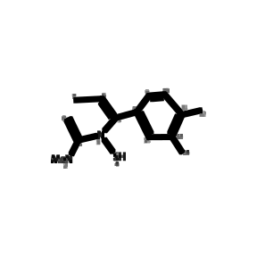 C=C(NC)N(S)/C(=C\C)c1ccc(C)c(C)c1